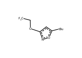 CC(C)(C)c1cc(OCC(F)(F)F)no1